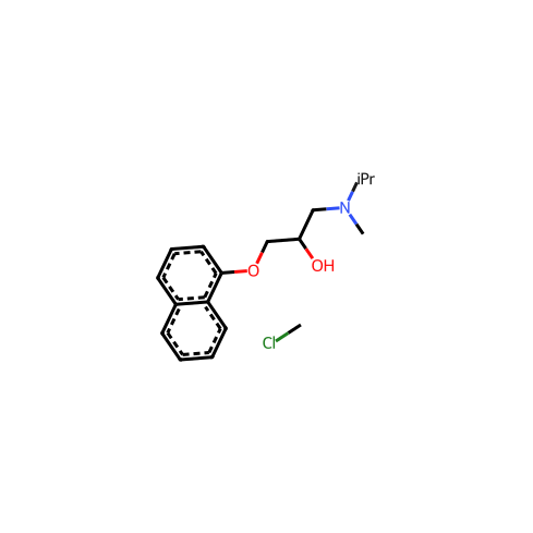 CC(C)N(C)CC(O)COc1cccc2ccccc12.CCl